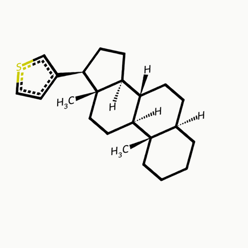 C[C@]12CCCC[C@@H]1CC[C@@H]1[C@@H]2CC[C@]2(C)[C@@H](c3ccsc3)CC[C@@H]12